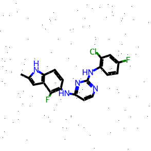 Cc1cc2c(F)c(Nc3ccnc(Nc4ccc(F)cc4Cl)n3)ccc2[nH]1